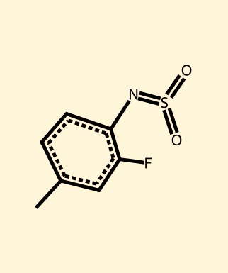 Cc1ccc(N=S(=O)=O)c(F)c1